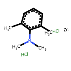 Cc1cccc(C)c1N(C)C.Cl.Cl.[Zn]